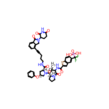 CC(C)(C)C(NC(=O)c1cc2cc(C(F)(F)P(=O)(O)O)ccc2s1)C(=O)N1CCC[C@H]1C(=O)N1C[C@@H](Oc2ccccc2)C[C@H]1C(=O)NCCCC#Cc1cccc2c1CN(C1CCC(=O)NC1=O)C2=O